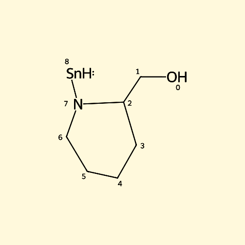 OCC1CCCC[N]1[SnH]